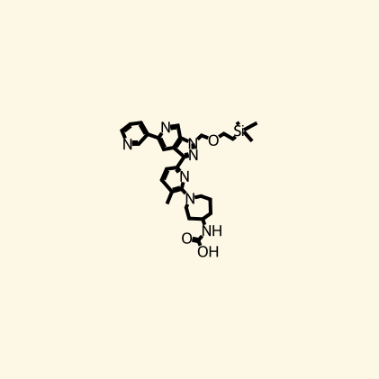 Cc1ccc(-c2nn(COCC[Si](C)(C)C)c3cnc(-c4cccnc4)cc23)nc1N1CCCC(NC(=O)O)CC1